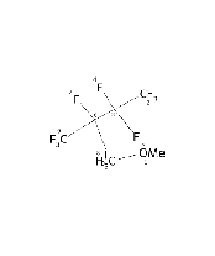 COC.FC(F)(F)C(F)(F)C(F)(F)C(F)(F)F